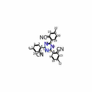 Cc1ccc(-c2nc(-c3ccc(C)cc3C#N)nc(-c3ccc(C)cc3C#N)n2)c(C#N)c1